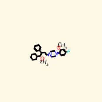 COc1cc(F)ccc1N1CCN(CCC(c2ccccc2)C(OC)C2CCCCC2)CC1